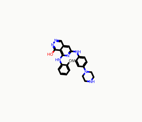 COc1ccccc1Nc1nc(Nc2ccc(N3CCNCC3)cc2)cc2cnnc(O)c12